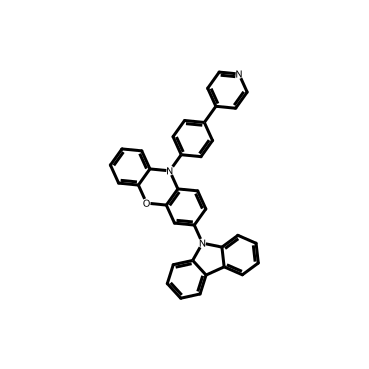 c1ccc2c(c1)Oc1cc(-n3c4ccccc4c4ccccc43)ccc1N2c1ccc(-c2ccncc2)cc1